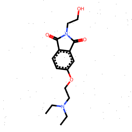 CCN(CC)CCOc1ccc2c(c1)C(=O)N(CCO)C2=O